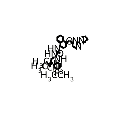 CP(C)c1ccc(N/C(=C\C(=N)C(C)(C)C)NC(=O)Nc2ccc(Oc3ccnc(N4CCCC4)n3)c3ccccc23)cc1